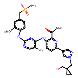 CNC(=O)c1nc(-c2cnn(CC3(CO)CC3)c2)ccc1Nc1nc(Nc2ccc(CP(=O)(I)NC)cc2OC)ncc1C(F)(F)F